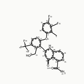 Cc1c(Oc2ncc(C(F)(F)F)c(CO)c2-c2cc(=O)c3c(C(N)=O)nccc3[nH]2)ccc(F)c1F